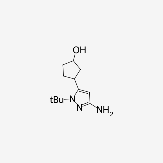 CC(C)(C)n1nc(N)cc1C1CCC(O)C1